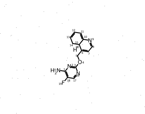 Nc1nc(OCC2=CC=NC3=CC=CC[C@H]23)ncc1F